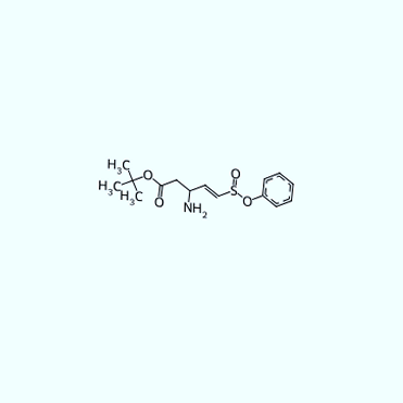 CC(C)(C)OC(=O)CC(N)/C=C/S(=O)Oc1ccccc1